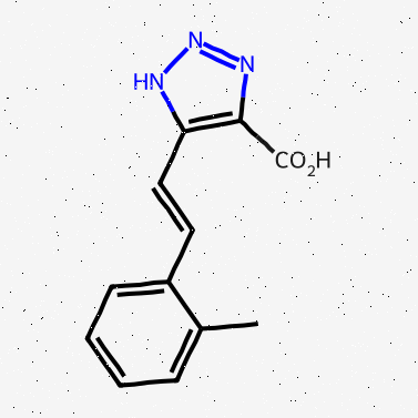 Cc1ccccc1C=Cc1[nH]nnc1C(=O)O